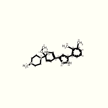 COC1(N2CCN(C)CC2)C=CC(c2cc(-c3cccc(C)c3C)[nH]n2)=CN1